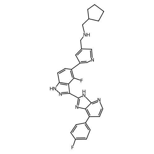 Fc1ccc(-c2ccnc3[nH]c(-c4n[nH]c5ccc(-c6cncc(CNCC7CCCC7)c6)c(F)c45)nc23)cc1